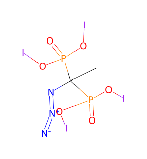 CC(N=[N+]=[N-])(P(=O)(OI)OI)P(=O)(OI)OI